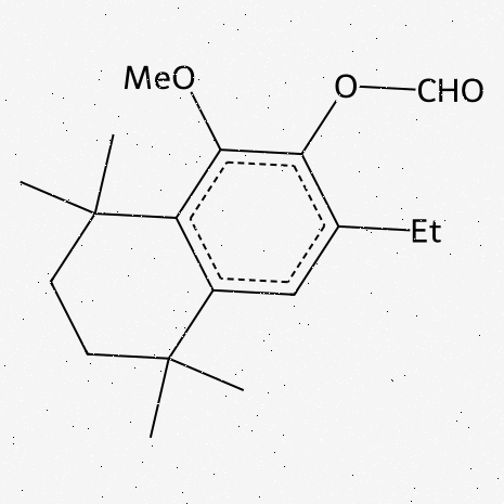 CCc1cc2c(c(OC)c1OC=O)C(C)(C)CCC2(C)C